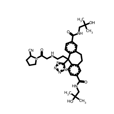 CC(C)(O)CNC(=O)c1ccc2c(c1)CCc1cc(C(=O)NCC(C)(C)O)ccc1C2(CCNCC(=O)N1CCCC1C#N)c1nnn[nH]1